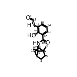 CC1(C)C2CCC1(C)C(NC(=O)c1cccc(NC=O)c1O)C2